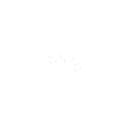 O=C(NCC(F)(F)c1ccc(Cl)cc1Cl)c1cnc(Cl)cc1C(F)(F)F